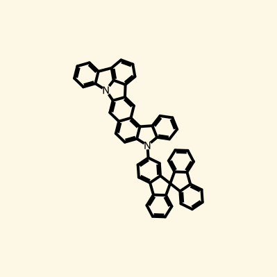 c1ccc2c(c1)-c1ccccc1C21c2ccccc2-c2ccc(-n3c4ccccc4c4c5cc6c7cccc8c9ccccc9n(c6cc5ccc43)c87)cc21